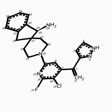 C=C(c1cc[nH]n1)c1cc(N2CCC3(CC2)Cc2ccccc2[C@H]3N)nc(F)c1Cl